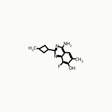 Cc1cc2c(N)nc(C3CC(C)C3)nc2c(F)c1O